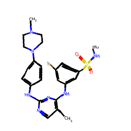 Cc1cnc(Nc2ccc(N3CCN(C)CC3)cc2)nc1Nc1cc(Br)cc(S(=O)(=O)NC(C)(C)C)c1